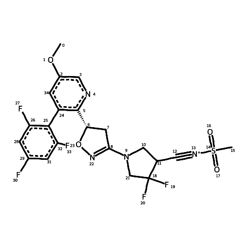 COc1cnc([C@@H]2CC(N3CC(C#[N+]S(C)(=O)=O)C(F)(F)C3)=NO2)c(-c2c(F)cc(F)cc2F)c1